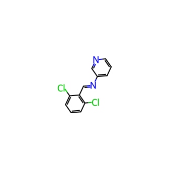 Clc1cccc(Cl)c1/C=N/c1cccnc1